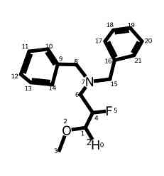 [2H]C(OC)C(F)CN(Cc1ccccc1)Cc1ccccc1